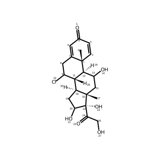 C[C@]12C=CC(=O)C=C1CC(Cl)[C@@H]1[C@@H]2C(O)C[C@@]2(C)[C@H]1CC(O)[C@]2(O)C(=O)CO